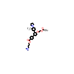 CN(C)CCCCOC(=O)c1ccc(-c2ccc(OCCOC(=O)C(C)(C)C)c(-c3ccc(N4CCCC4)c(C(F)(F)F)c3)c2)cc1